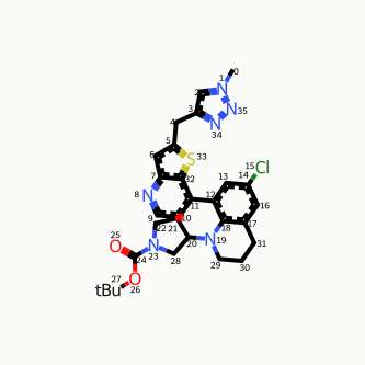 Cn1cc(Cc2cc3nccc(-c4cc(Cl)cc5c4N(C4CCN(C(=O)OC(C)(C)C)C4)CCC5)c3s2)nn1